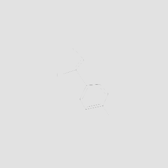 CCCC=C(O)c1ccc(Cl)cc1